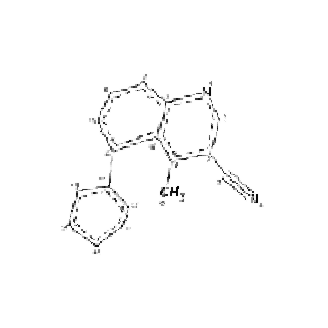 Cc1c(C#N)cnc2cccc(-c3ccccc3)c12